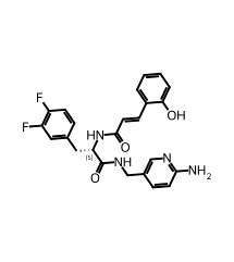 Nc1ccc(CNC(=O)[C@H](Cc2ccc(F)c(F)c2)NC(=O)C=Cc2ccccc2O)cn1